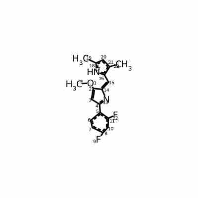 COC1=CC(c2ccc(F)cc2F)=N/C1=C/c1[nH]c(C)cc1C